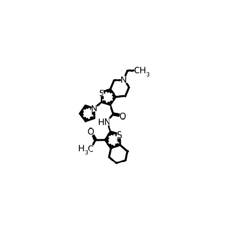 CCN1CCc2c(sc(-n3cccc3)c2C(=O)Nc2sc3c(c2C(C)=O)CCCC3)C1